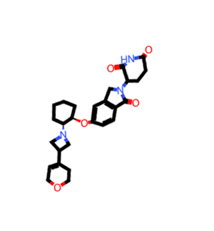 O=C1CCC(N2Cc3cc(O[C@@H]4CCCC[C@H]4N4CC(C5=CCOCC5)C4)ccc3C2=O)C(=O)N1